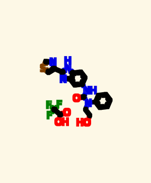 O=C(Nc1ccc2[nH]c(-c3cscn3)nc2c1)N(CCO)c1ccccc1.O=C(O)C(F)(F)F